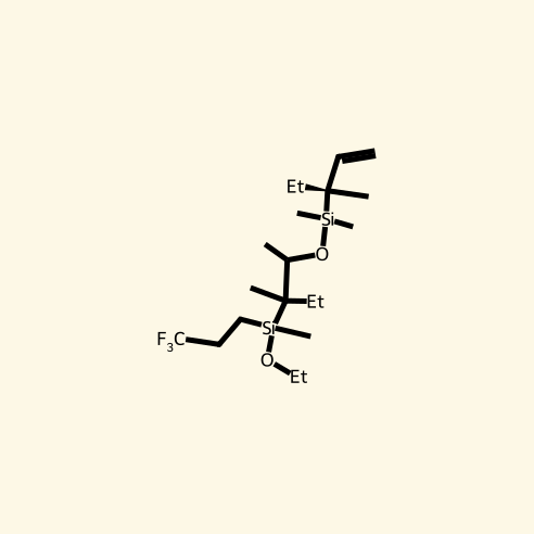 C=C[C@@](C)(CC)[Si](C)(C)OC(C)C(C)(CC)[Si](C)(CCC(F)(F)F)OCC